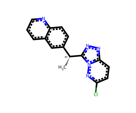 C[C@H](c1ccc2ncccc2c1)c1nnc2ccc(Cl)nn12